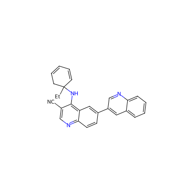 CCC1(Nc2c(C#N)cnc3ccc(-c4cnc5ccccc5c4)cc23)C=CC=CC1